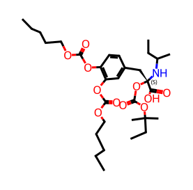 CCCCCOC(=O)Oc1ccc(C[C@](NC(C)CC)(OC(=O)OC(C)(C)CC)C(=O)O)cc1OC(=O)OCCCCC